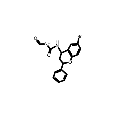 O=CNC(=O)NC1CC(c2ccccc2)Oc2ccc(Br)cc21